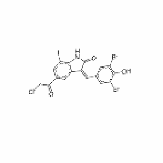 O=C1Nc2c(I)cc(C(=O)CCl)cc2C1=Cc1cc(Br)c(O)c(Br)c1